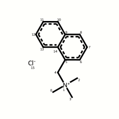 C[N+](C)(C)Cc1cccc2ccccc12.[Cl-]